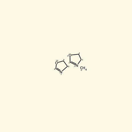 C.C1=NCCO1.C1=NCCO1